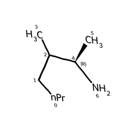 CCCCC(C)[C@@H](C)N